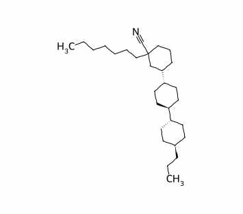 CCCCCCCC1(C#N)CCCC([C@H]2CC[C@H]([C@H]3CC[C@H](CCC)CC3)CC2)C1